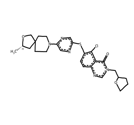 C[C@H]1CC2(CCN(c3cnc(Sc4ccc5ncn(CC6CCCO6)c(=O)c5c4Cl)cn3)CC2)CO1